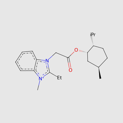 CCc1n(CC(=O)O[C@H]2C[C@H](C)CC[C@H]2C(C)C)c2ccccc2[n+]1C